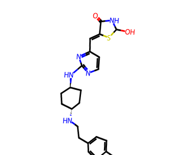 Cc1ccc(CCN[C@H]2CC[C@H](Nc3nccc(/C=C4\SC(O)NC4=O)n3)CC2)cc1